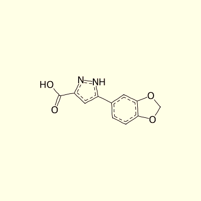 O=C(O)c1cc(-c2ccc3c(c2)OCO3)[nH]n1